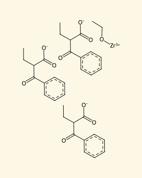 CCC(C(=O)[O-])C(=O)c1ccccc1.CCC(C(=O)[O-])C(=O)c1ccccc1.CCC(C(=O)[O-])C(=O)c1ccccc1.CC[O][Zr+3]